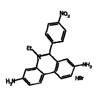 Br.CCN1c2cc(N)ccc2-c2ccc(N)cc2C1c1ccc([N+](=O)[O-])cc1